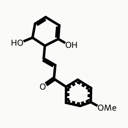 COc1ccc(C(=O)C=CC2C(O)=CC=CC2O)cc1